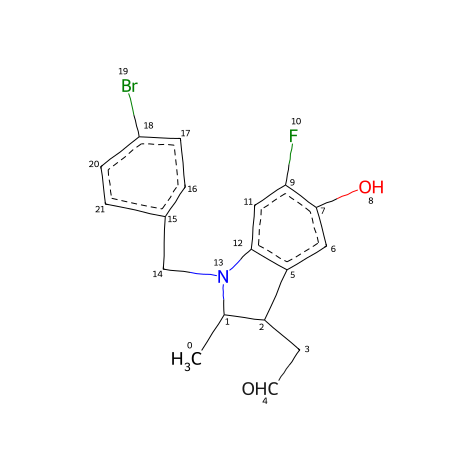 CC1C(CC=O)c2cc(O)c(F)cc2N1Cc1ccc(Br)cc1